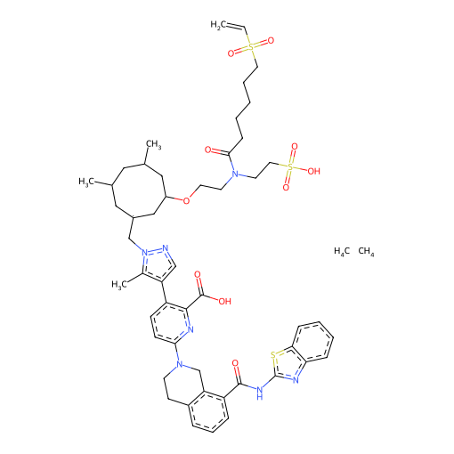 C.C.C=CS(=O)(=O)CCCCCC(=O)N(CCOC1C[C](Cn2ncc(-c3ccc(N4CCc5cccc(C(=O)Nc6nc7ccccc7s6)c5C4)nc3C(=O)O)c2C)CC(C)CC(C)C1)CCS(=O)(=O)O